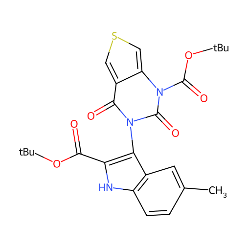 Cc1ccc2[nH]c(C(=O)OC(C)(C)C)c(-n3c(=O)c4cscc4n(C(=O)OC(C)(C)C)c3=O)c2c1